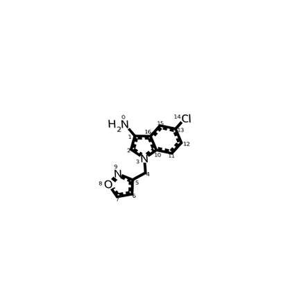 Nc1cn(Cc2ccon2)c2ccc(Cl)cc12